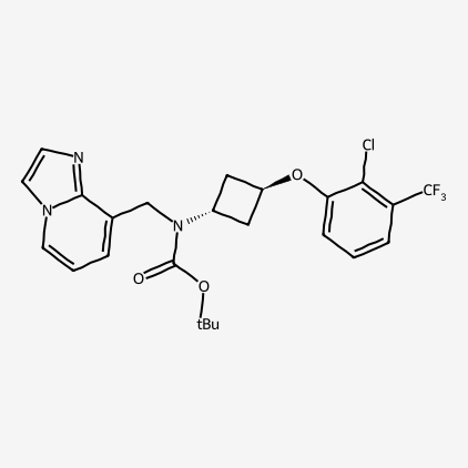 CC(C)(C)OC(=O)N(Cc1cccn2ccnc12)[C@H]1C[C@H](Oc2cccc(C(F)(F)F)c2Cl)C1